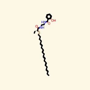 CCC=CCC=CCC=CCC=CCC=CCCCCS[C@H](CC)C(=O)NCCNC(=O)c1ccccc1O